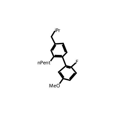 CCCCCc1cc(CC(C)C)ccc1-c1cc(OC)ccc1F